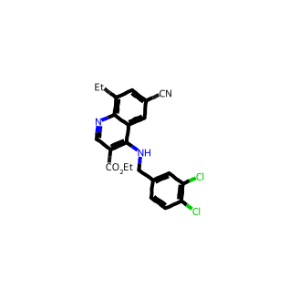 CCOC(=O)c1cnc2c(CC)cc(C#N)cc2c1NCc1ccc(Cl)c(Cl)c1